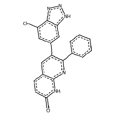 O=c1ccc2cc(-c3cc(Cl)c4nn[nH]c4c3)c(-c3ccccc3)nc2[nH]1